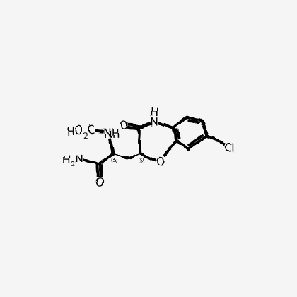 NC(=O)[C@H](C[C@@H]1Oc2cc(Cl)ccc2NC1=O)NC(=O)O